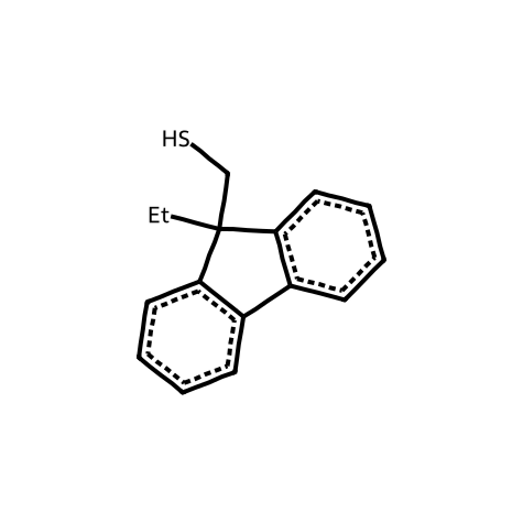 CCC1(CS)c2ccccc2-c2ccccc21